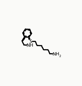 NCCCCCCS1=c2ccccc2=CCN1